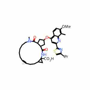 COc1ccc2c(OC3CC4C(=O)NC5(C(=O)O)CC5CC/C=C\CCCCCN(C)C(=O)C4C3)cc(-c3nc(C(C)C)cs3)nc2c1C